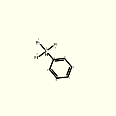 CC[PH](CC)(CC)c1ccccc1